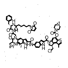 Cc1csc2c(OC(=O)N3CCN(C)CC3)cc3c(c12)[C@@H](CCl)CN3C(=O)c1cc2cc(NC(=O)c3cc4cc(N(CC(=O)NC(=O)[C@H](Cc5ccccc5)NC(=O)CCCCCN5C(=O)C=CC5=O)C(=O)[C@@H](N)CC(C)C)ccc4[nH]3)ccc2[nH]1